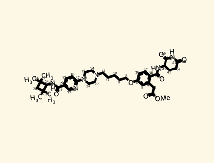 COC(=O)Cc1cc(OCCCCCN2CCN(c3ccc(C(=O)NC4C(C)(C)CC4(C)C)cn3)CC2)ccc1C(=O)NC1CCC(=O)NC1=O